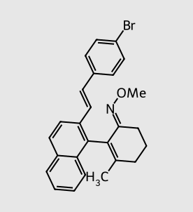 CO/N=C1\CCCC(C)=C1c1c(/C=C/c2ccc(Br)cc2)ccc2ccccc12